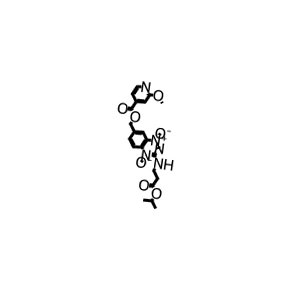 COc1cc(C(=O)OCc2ccc3c(c2)[n+]([O-])nc(NCCC(=O)OC(C)C)[n+]3[O-])ccn1